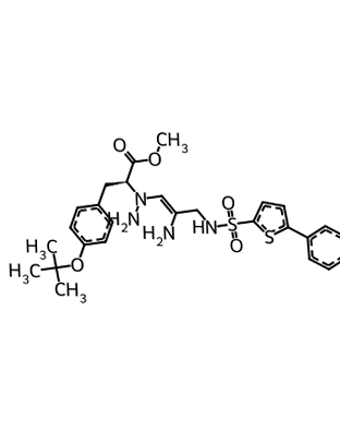 COC(=O)[C@H](Cc1ccc(OC(C)(C)C)cc1)N(N)/C=C(\N)CNS(=O)(=O)c1ccc(-c2ccccc2)s1